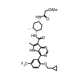 COCC(=O)N[C@@H]1CC[C@H](NC(=O)c2c(C)[nH]c3c(-c4cc(C(F)(F)F)ccc4OCC4CC4)ncnc23)[C@H](C)C1